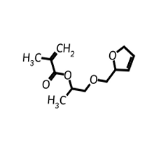 C=C(C)C(=O)OC(C)COCC1C=CCO1